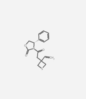 C=CC1(CC(=O)N2C(=O)OC[C@@H]2c2ccccc2)CSC1